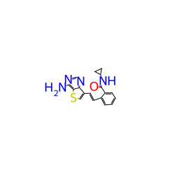 Nc1ncnc2c(C=Cc3ccccc3C(=O)NC3CC3)csc12